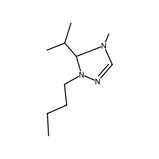 CCCCN1N=CN(C)C1C(C)C